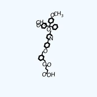 COc1ccc(C(OCc2ccc(-c3ccc(OCc4cccc(COC(=O)CCC(=O)O)c4)cc3)nc2)(c2ccccc2)c2ccc(OC)cc2)cc1